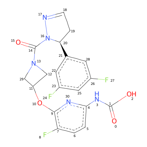 O=C(O)Nc1ccc(F)c(OC2CN(C(=O)N3N=CC[C@H]3c3cc(F)cc(F)c3)C2)n1